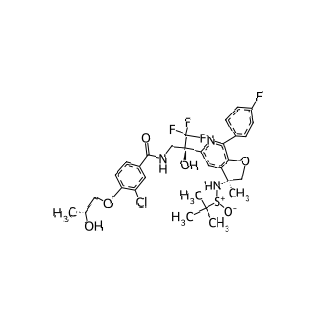 C[C@@H](O)COc1ccc(C(=O)NC[C@@](O)(c2cc3c(c(-c4ccc(F)cc4)n2)OC[C@@]3(C)N[S+]([O-])C(C)(C)C)C(F)(F)F)cc1Cl